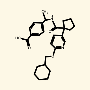 CC(NC(=O)C1(c2ccc(OCC3CCCCC3)nc2)CCCC1)c1ccc(C(=O)O)cc1